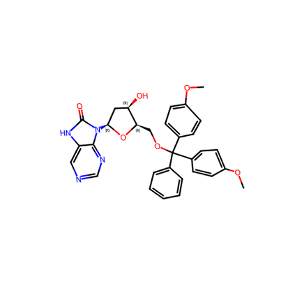 COc1ccc(C(OC[C@H]2O[C@@H](n3c(=O)[nH]c4cncnc43)C[C@H]2O)(c2ccccc2)c2ccc(OC)cc2)cc1